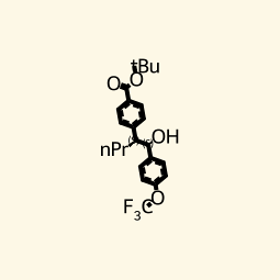 CCC[C@@H](c1ccc(C(=O)OC(C)(C)C)cc1)[C@H](O)c1ccc(OC(F)(F)F)cc1